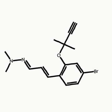 C#CC(C)(C)Oc1cc(Br)ccc1C=CC=NN(C)C